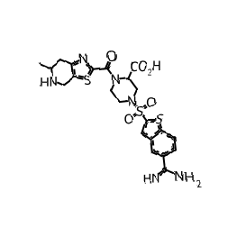 CC1Cc2nc(C(=O)N3CCN(S(=O)(=O)c4cc5cc(C(=N)N)ccc5s4)CC3C(=O)O)sc2CN1